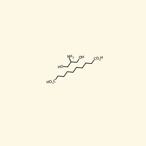 NC(CO)CO.O=C(O)CCCCCCCCC(=O)O